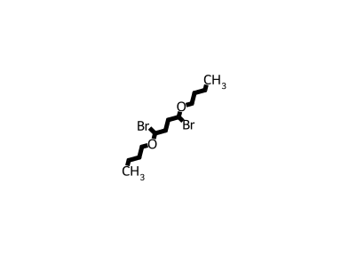 CCCCOC(Br)CCC(Br)OCCCC